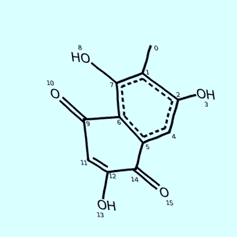 Cc1c(O)cc2c(c1O)C(=O)C=C(O)C2=O